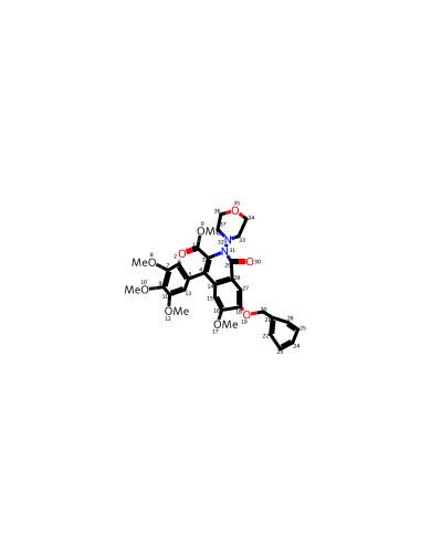 COC(=O)c1c(-c2cc(OC)c(OC)c(OC)c2)c2cc(OC)c(OCc3ccccc3)cc2c(=O)n1N1CCOCC1